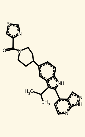 CC(C)c1c(-c2ccnc3[nH]ncc23)[nH]c2ccc(C3CCN(C(=O)c4cscn4)CC3)cc12